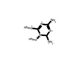 CCCCCC1=NC(N)=NC(N)N1CCCCC